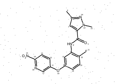 Cc1cc(C(=O)Nc2cc(Oc3ccc([N+](=O)[O-])nc3)ccc2F)n(C)n1